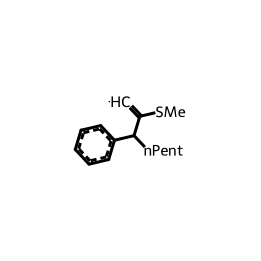 [CH]=C(SC)C(CCCCC)c1ccccc1